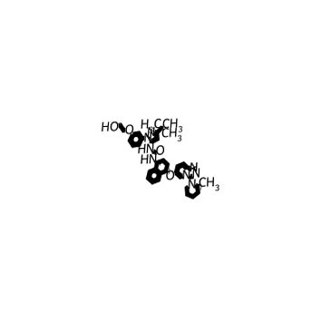 C[C@@H]1CCCCN1c1nnc2ccc(O[C@@H]3CC[C@H](NC(=O)Nc4cc(C(C)(C)C)nn4-c4cccc(OCCO)c4)c4ccccc43)cn12